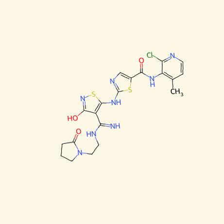 Cc1ccnc(Cl)c1NC(=O)c1cnc(Nc2snc(O)c2C(=N)NCCN2CCCC2=O)s1